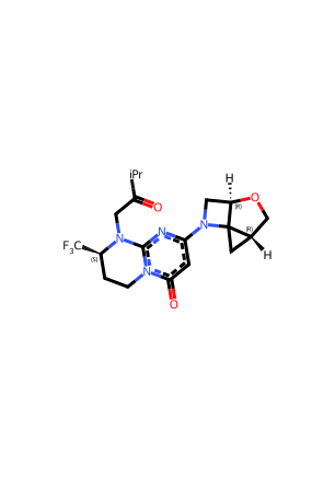 CC(C)C(=O)CN1c2nc(N3C[C@H]4OC[C@@H]5CC543)cc(=O)n2CC[C@H]1C(F)(F)F